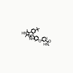 CNC(=O)c1cc(Oc2ccc(N(C(N)=O)c3cc(C(C)(C)C)ccc3-c3cc(C)[nH]c3C)cc2)ccn1